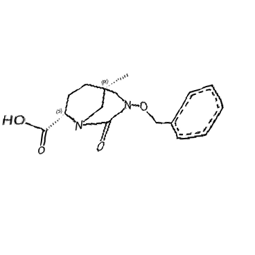 C[C@@]12CC[C@@H](C(=O)O)N(C1)C(=O)N2OCc1ccccc1